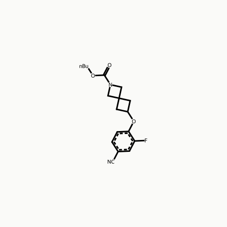 CCCCOC(=O)N1CC2(CC(Oc3ccc(C#N)cc3F)C2)C1